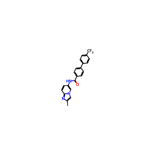 Cc1cn2cc(NC(=O)c3ccc(-c4ccc(C(F)(F)F)cc4)cc3)ccc2n1